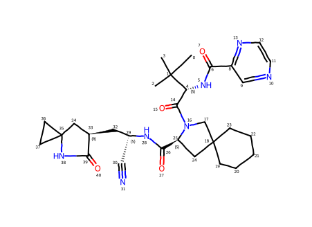 CC(C)(C)[C@H](NC(=O)c1cnccn1)C(=O)N1CC2(CCCCC2)C[C@H]1C(=O)N[C@H](C#N)C[C@@H]1CC2(CC2)NC1=O